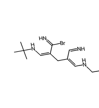 CCN/C=C(\C=N)C/C(=C/NC(C)(C)C)C(=N)Br